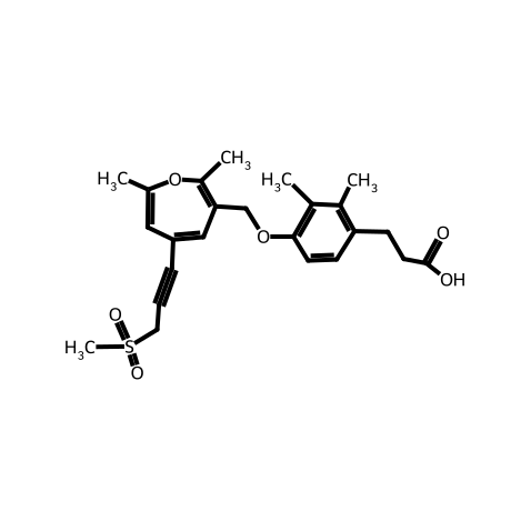 CC1=CC(C#CCS(C)(=O)=O)=CC(COc2ccc(CCC(=O)O)c(C)c2C)=C(C)O1